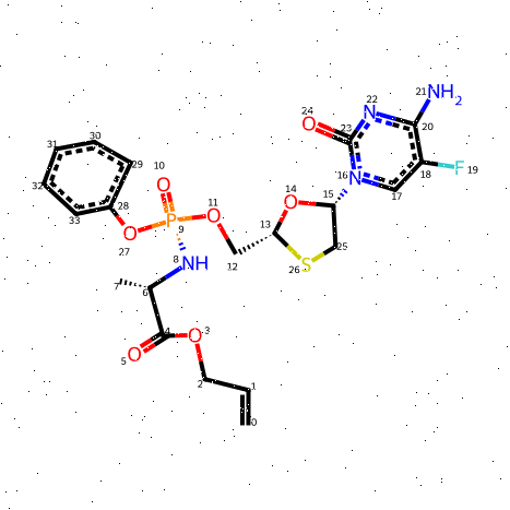 C=CCOC(=O)[C@H](C)N[P@](=O)(OC[C@@H]1O[C@H](n2cc(F)c(N)nc2=O)CS1)Oc1ccccc1